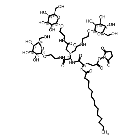 CCCCCCCCCCCCCC(=O)N[C@@H](CCC(=O)ON1C(=O)CCC1=O)C(=O)N[C@@H](C(=O)NCCO[C@H]1O[C@H](CO)[C@@H](O)[C@H](O)[C@@H]1O)N(CC(=O)NCCO[C@H]1O[C@H](CO)[C@@H](O)[C@H](O)[C@@H]1O)CC(=O)NCCO[C@H]1O[C@H](CO)[C@@H](O)[C@H](O)[C@@H]1O